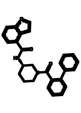 O=C(N[C@@H]1CCCN(C(=O)c2ccccc2-c2ccccc2)C1)c1cccc2occc12